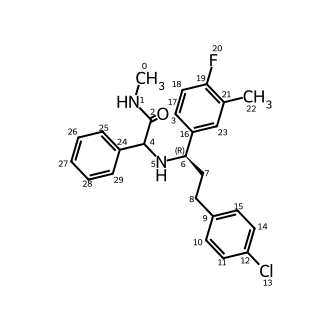 CNC(=O)C(N[C@H](CCc1ccc(Cl)cc1)c1ccc(F)c(C)c1)c1ccccc1